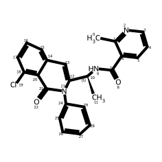 Cc1ncccc1C(=O)N[C@@H](C)c1cc2cccc(Cl)c2c(=O)n1-c1ccccc1